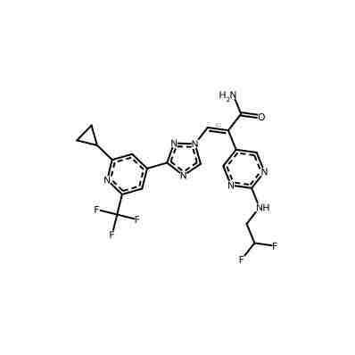 NC(=O)/C(=C/n1cnc(-c2cc(C3CC3)nc(C(F)(F)F)c2)n1)c1cnc(NCC(F)F)nc1